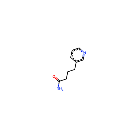 NC(=O)CCCc1cccnc1